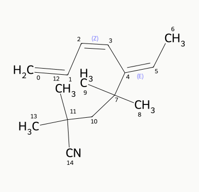 C=C/C=C\C(=C/C)C(C)(C)CC(C)(C)C#N